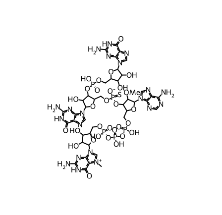 COC1C(OP([O-])(=S)OCC2OC(n3cnc4c(=O)[nH]c(N)nc43)C(O)C2OP(=O)(O)OCC2OC(n3cnc4c(=O)[nH]c(N)nc43)C(O)C2O)C(COP(=O)(O)OP(=O)(O)OP(=O)(O)OCC2OC(n3c[n+](C)c4c(=O)[nH]c(N)nc43)C(O)C2O)OC1n1cnc2c(N)ncnc21